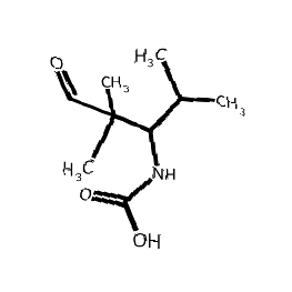 CC(C)C(NC(=O)O)C(C)(C)C=O